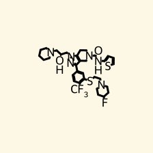 O=C(Nc1cccs1)N1CCc2c(c(-c3ccc(C(F)(F)F)c(SCCN4CCC(F)CC4)c3)nn2C[C@@H](O)CN2CCCCC2)C1